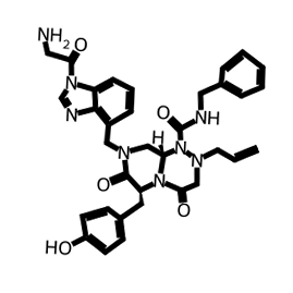 C=CCN1CC(=O)N2[C@@H](Cc3ccc(O)cc3)C(=O)N(Cc3cccc4c3ncn4C(=O)CN)C[C@@H]2N1C(=O)NCc1ccccc1